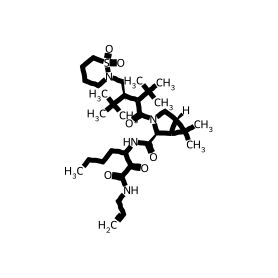 C=CCNC(=O)C(=O)C(CCCC)NC(=O)[C@@H]1C2[C@H](CN1C(=O)C([C@H](CN1CCCCS1(=O)=O)C(C)(C)C)C(C)(C)C)C2(C)C